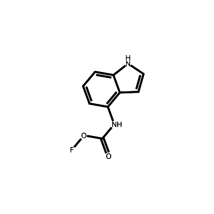 O=C(Nc1cccc2[nH]ccc12)OF